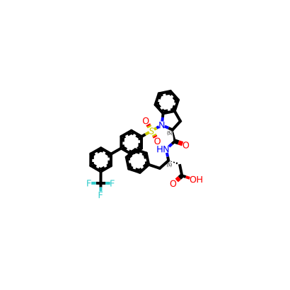 O=C(O)C[C@H](Cc1ccccc1)NC(=O)[C@@H]1Cc2ccccc2N1S(=O)(=O)c1ccc(-c2cccc(C(F)(F)F)c2)cc1